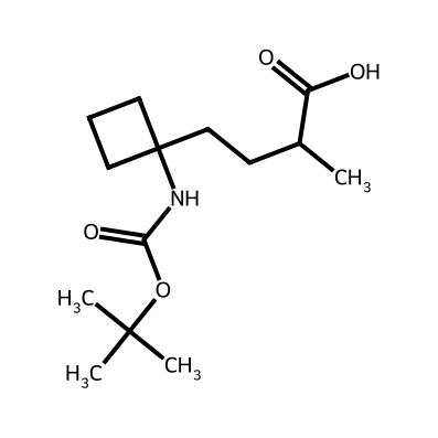 CC(CCC1(NC(=O)OC(C)(C)C)CCC1)C(=O)O